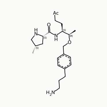 CC(=O)CC[C@H](NC(=O)[C@@H]1C[C@H](C)CN1)[C@@H](C)OCc1ccc(CCCN)cc1